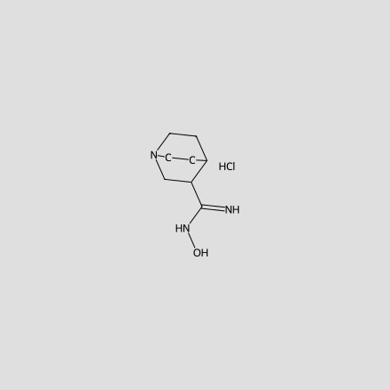 Cl.N=C(NO)C1CN2CCC1CC2